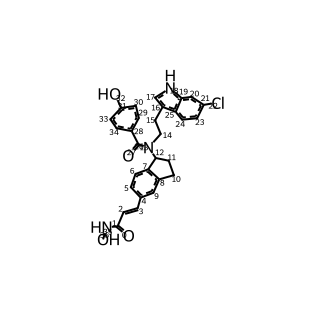 O=C(C=Cc1ccc2c(c1)CCC2N(CCc1c[nH]c2cc(Cl)ccc12)C(=O)c1ccc(O)cc1)NO